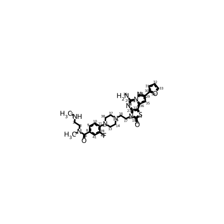 CNCCN(C)C(=O)c1ccc(N2CCN(CCn3c(=O)sc4c3nc(N)n3nc(-c5ccco5)cc43)CC2)c(F)c1